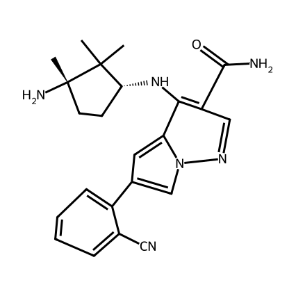 CC1(C)[C@H](Nc2c(C(N)=O)cnn3cc(-c4ccccc4C#N)cc23)CC[C@]1(C)N